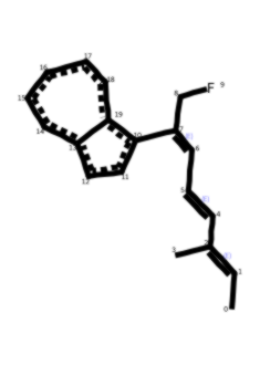 C/C=C(C)/C=C/C=C(/CF)c1ccc2cccccc1-2